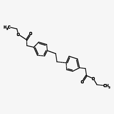 CCOC(=O)Cc1ccc(CCc2ccc(CC(=O)OCC)cc2)cc1